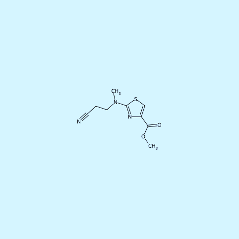 COC(=O)c1csc(N(C)CCC#N)n1